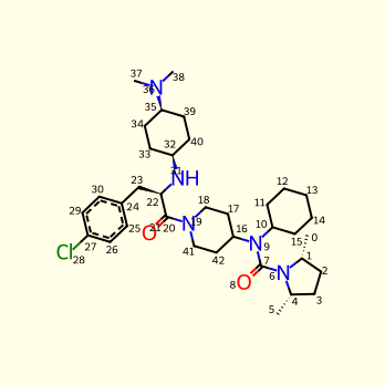 C[C@@H]1CC[C@H](C)N1C(=O)N(C1CCCCC1)C1CCN(C(=O)[C@@H](Cc2ccc(Cl)cc2)N[C@H]2CC[C@@H](N(C)C)CC2)CC1